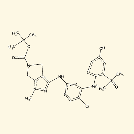 Cn1nc(Nc2ncc(Cl)c(Nc3ccc(O)cc3P(C)(C)=O)n2)c2c1CN(C(=O)OC(C)(C)C)C2